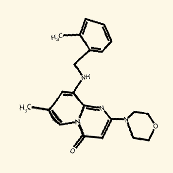 Cc1cc(NCc2ccccc2C)c2nc(N3CCOCC3)cc(=O)n2c1